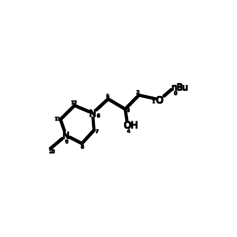 CCCCOCC(O)CN1CCN(C)CC1